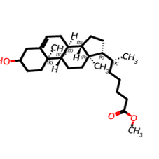 COC(=O)CCCC[C@@H](C)[C@H]1CC[C@H]2[C@@H]3CC=C4CC(O)CC[C@]4(C)[C@H]3CC[C@]12C